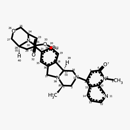 C[C@@H]1CN(c2cc(=O)n(C)c3ncccc23)C[C@@H]2c3ccc(C4=CC5COC[C@H](C4)N5C(=O)OC(C)(C)C)cc3CN12